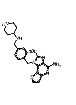 CCCCc1nc2c(N)nc3ccsc3c2n1Cc1ccc(CNC2CCNCC2)cc1